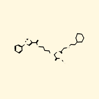 NNC(=O)[C@H](CCCCNC(=O)c1cn(-c2ccccc2)nn1)NC(=O)CNCCC1CCCCC1